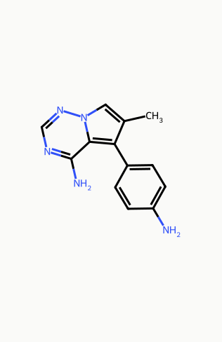 Cc1cn2ncnc(N)c2c1-c1ccc(N)cc1